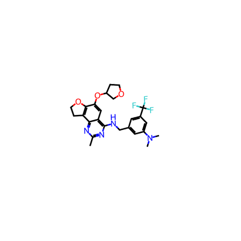 Cc1nc(NCc2cc(N(C)C)cc(C(F)(F)F)c2)c2cc(OC3CCOC3)c3c(c2n1)CCO3